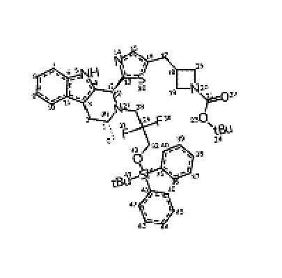 C[C@@H]1Cc2c([nH]c3ccccc23)[C@@H](c2ncc(CC3CN(C(=O)OC(C)(C)C)C3)s2)N1CC(F)(F)CO[Si](c1ccccc1)(c1ccccc1)C(C)(C)C